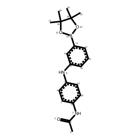 CC(=O)Nc1ccc(Nc2cccc(B3OC(C)(C)C(C)(C)O3)c2)cc1